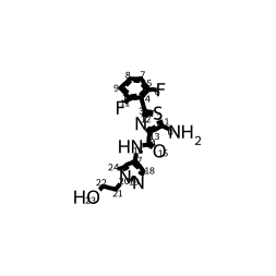 Nc1sc(-c2c(F)cccc2F)nc1C(=O)Nc1cnn(CCO)c1